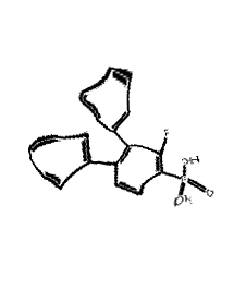 O=P(O)(O)c1ccc(-c2ccccc2)c(-c2ccccc2)c1F